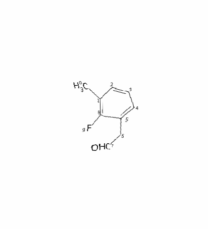 Cc1cccc(CC=O)c1F